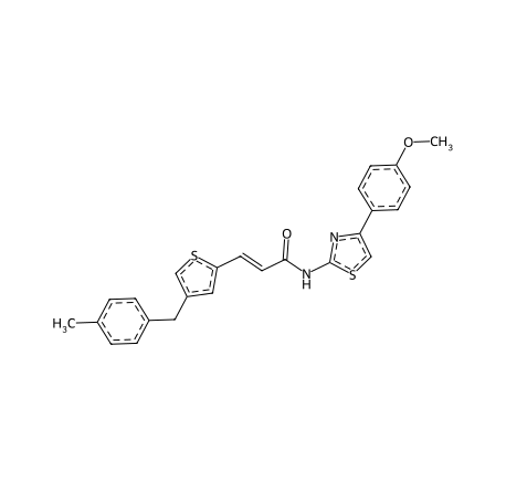 COc1ccc(-c2csc(NC(=O)C=Cc3cc(Cc4ccc(C)cc4)cs3)n2)cc1